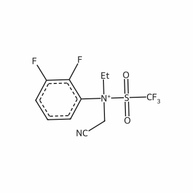 CC[N+](CC#N)(c1cccc(F)c1F)S(=O)(=O)C(F)(F)F